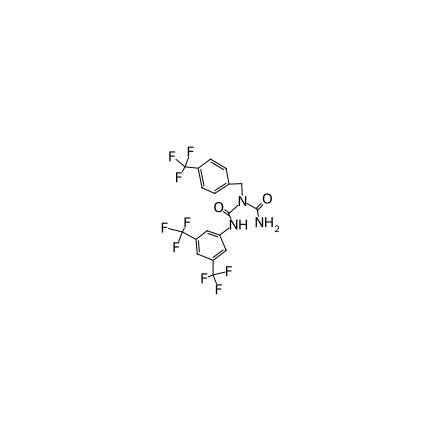 NC(=O)N(Cc1ccc(C(F)(F)F)cc1)C(=O)Nc1cc(C(F)(F)F)cc(C(F)(F)F)c1